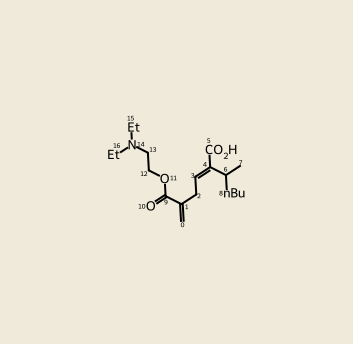 C=C(CC=C(C(=O)O)C(C)CCCC)C(=O)OCCN(CC)CC